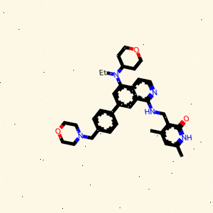 CCN(c1cc(-c2ccc(CN3CCOCC3)cc2)cc2c(NCc3c(C)cc(C)[nH]c3=O)nccc12)C1CCOCC1